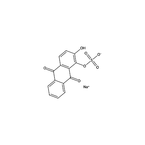 O=C1c2ccccc2C(=O)c2c1ccc(O)c2OS(=O)(=O)[O-].[Na+]